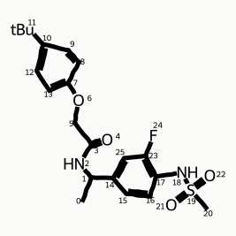 CC(NC(=O)COc1ccc(C(C)(C)C)cc1)c1ccc(NS(C)(=O)=O)c(F)c1